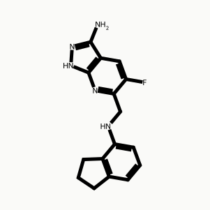 Nc1n[nH]c2nc(CNc3cccc4c3CCC4)c(F)cc12